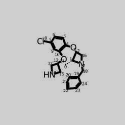 C[C@@H]1[C@@H](Oc2ccc(Cl)cc2OC2CNC2)CN1Cc1ccccc1